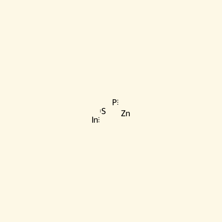 [In].[P].[S].[Zn]